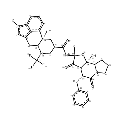 Cn1cc2c3c(cccc31)[C@H]1CC(C(=O)N[C@]3(C)O[C@@]4(O)C5CCCN5C(=O)[C@H](Cc5ccccc5)N4C3=O)CN(C(F)(F)F)C1C2